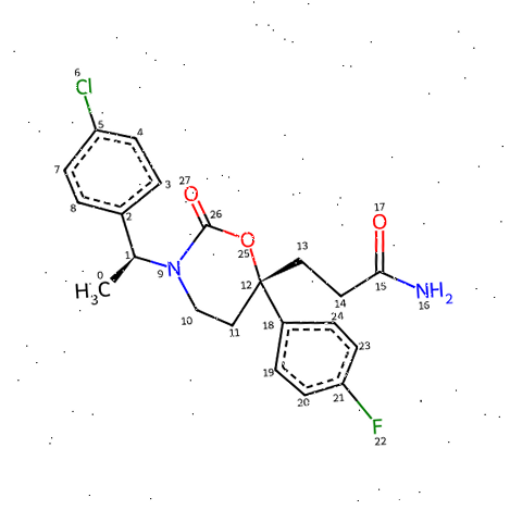 C[C@@H](c1ccc(Cl)cc1)N1CC[C@@](CCC(N)=O)(c2ccc(F)cc2)OC1=O